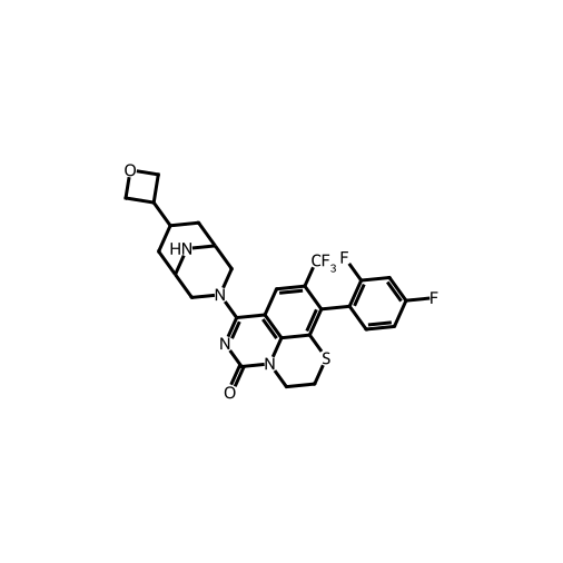 O=c1nc(N2CC3CC(C4COC4)CC(C2)N3)c2cc(C(F)(F)F)c(-c3ccc(F)cc3F)c3c2n1CCS3